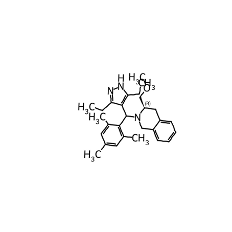 CCc1n[nH]c(CC)c1C(c1c(C)cc(C)cc1C)N1Cc2ccccc2C[C@@H]1COC